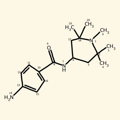 CN1C(C)(C)CC(NC(=O)c2ccc(N)cc2)CC1(C)C